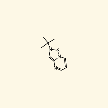 CC(C)(C)N1C=C2N=CC=CN2S1